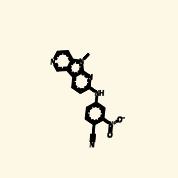 Cn1c2ccncc2c2ccc(Nc3ccc(C#N)c([N+](=O)[O-])c3)nc21